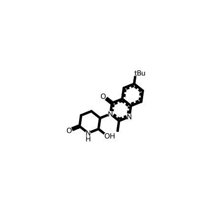 Cc1nc2ccc(C(C)(C)C)cc2c(=O)n1C1CCC(=O)NC1O